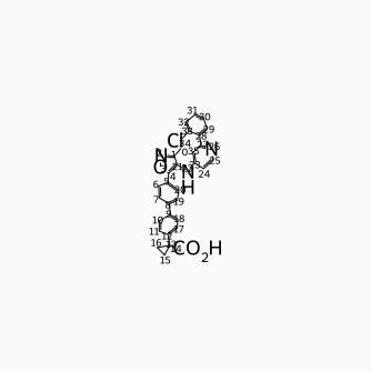 Cc1noc(-c2ccc(-c3ccc(C4(C(=O)O)CC4)cc3)cc2)c1Nc1ccnc(-c2ccccc2Cl)c1